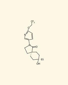 CC[C@]1(O)CC[C@@]2(CCN(c3ccc(OCC(F)(F)F)nc3)C2=O)CC1